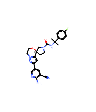 CC(C)(NC(=O)N1CC[C@]2(C1)OCCn1nc(-c3cnc(N)c(C#N)c3)cc12)c1ccc(F)cc1